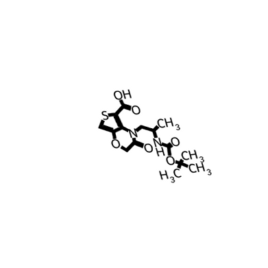 CC(CN1C(=O)COc2csc(C(=O)O)c21)NC(=O)OC(C)(C)C